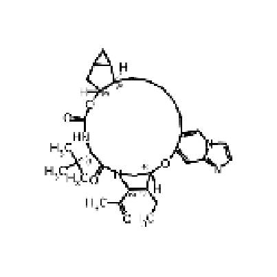 CC[C@@H]1[C@@H]2CN(C(=O)[C@H](C(C)(C)C)NC(=O)O[C@@H]3CC4CC4[C@H]3CCCCCc3cn4ccnc4cc3O2)[C@@H]1C(C)=O